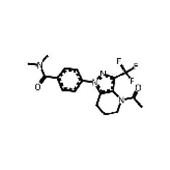 CC(=O)N1CCCc2c1c(C(F)(F)F)nn2-c1ccc(C(=O)N(C)C)cc1